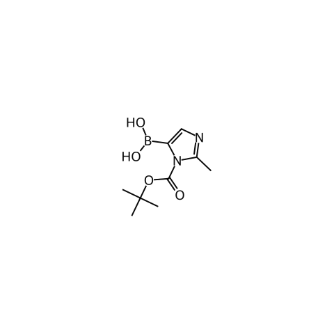 Cc1ncc(B(O)O)n1C(=O)OC(C)(C)C